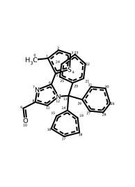 Cc1ccsc1-c1nc(C=O)cn1C(c1ccccc1)(c1ccccc1)c1ccccc1